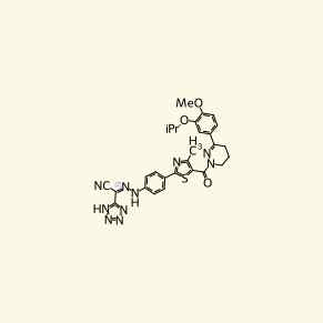 COc1ccc(C2=NN(C(=O)c3sc(-c4ccc(N/N=C(/C#N)c5nnn[nH]5)cc4)nc3C)CCC2)cc1OC(C)C